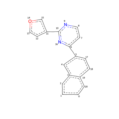 c1ccc2cc(-c3ccnc(-c4ccoc4)n3)ccc2c1